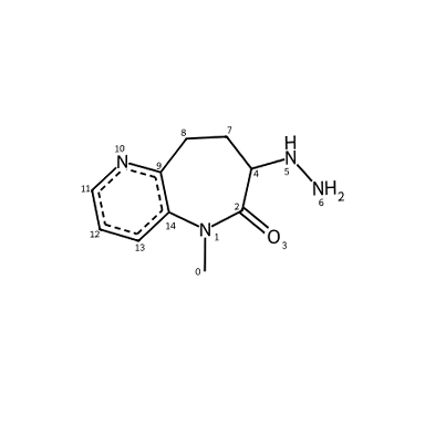 CN1C(=O)C(NN)CCc2ncccc21